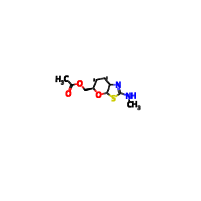 CNC1=NC2[C][C][C@H](COC(C)=O)OC2S1